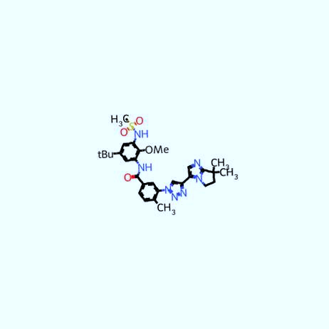 COc1c(NC(=O)c2ccc(C)c(-n3cc(-c4cnc5n4CCC5(C)C)nn3)c2)cc(C(C)(C)C)cc1NS(C)(=O)=O